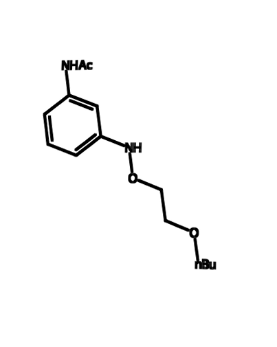 CCCCOCCONc1cccc(NC(C)=O)c1